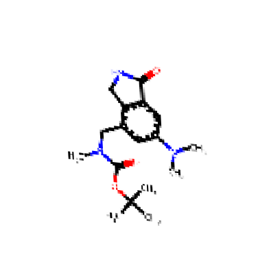 CN(Cc1cc(N(C)C)cc2c1CNC2=O)C(=O)OC(C)(C)C